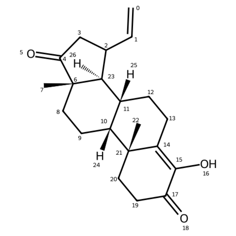 C=CC1CC(=O)[C@@]2(C)CC[C@@H]3[C@@H](CCC4=C(O)C(=O)CC[C@@]43C)[C@H]12